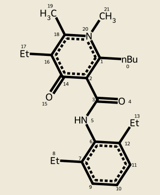 CCCCc1c(C(=O)Nc2c(CC)cccc2CC)c(=O)c(CC)c(C)n1C